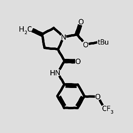 C=C1CC(C(=O)Nc2cccc(OC(F)(F)F)c2)N(C(=O)OC(C)(C)C)C1